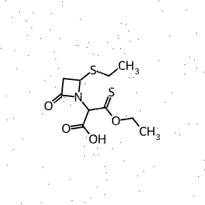 CCOC(=S)C(C(=O)O)N1C(=O)CC1SCC